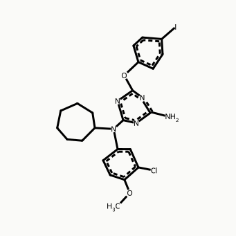 COc1ccc(N(c2nc(N)nc(Oc3ccc(I)cc3)n2)C2CCCCCC2)cc1Cl